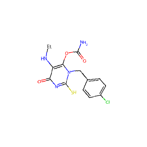 CCNc1c(OC(N)=O)n(Cc2ccc(Cl)cc2)c(S)nc1=O